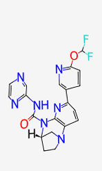 O=C(Nc1cnccn1)N1c2nc(-c3ccc(OC(F)F)nc3)ccc2N2CC[C@H]1C2